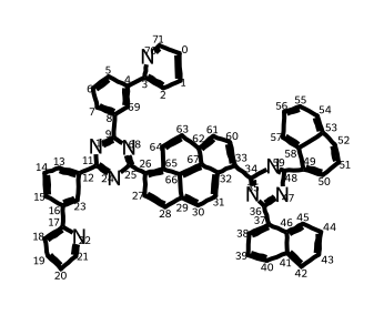 c1ccc(-c2cccc(-c3nc(-c4cccc(-c5ccccn5)c4)nc(-c4ccc5ccc6c(-c7nc(-c8cccc9ccccc89)nc(-c8cccc9ccccc89)n7)ccc7ccc4c5c76)n3)c2)nc1